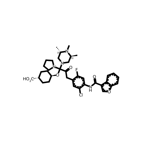 C[C@H]1CN(C(O[C@H]2CC[C@H](C(=O)O)CC2)(C(=O)Cc2cc(Cl)c(NC(=O)c3coc4ccccc34)cc2F)N2CCCC2)C[C@H](C)N1C